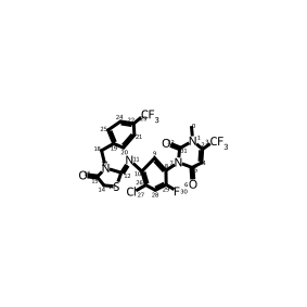 Cn1c(C(F)(F)F)cc(=O)n(-c2cc(/N=C3\SCC(=O)N3Cc3ccc(C(F)(F)F)cc3)c(Cl)cc2F)c1=O